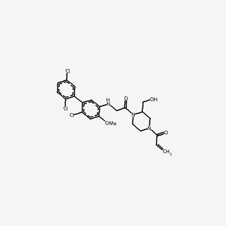 C=CC(=O)N1CCN(C(=O)CNc2cc(-c3cc(Cl)ccc3Cl)c(Cl)cc2OC)C(CO)C1